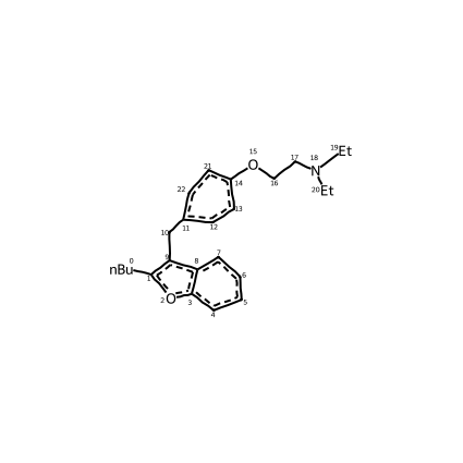 CCCCc1oc2ccccc2c1Cc1ccc(OCCN(CC)CC)cc1